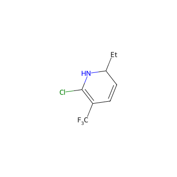 CCC1C=CC(C(F)(F)F)=C(Cl)N1